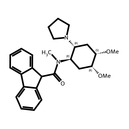 CO[C@H]1C[C@@H](N2CCCC2)[C@H](N(C)C(=O)C2c3ccccc3-c3ccccc32)C[C@H]1OC